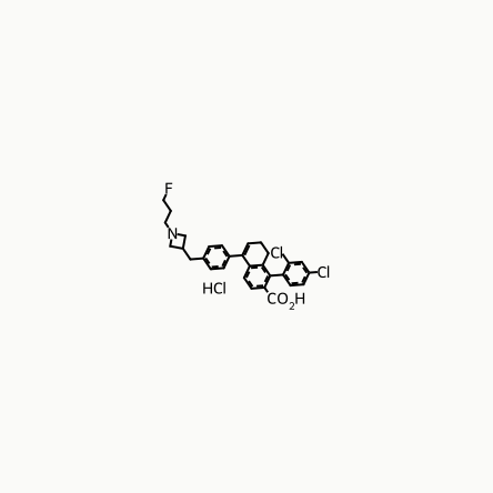 Cl.O=C(O)c1ccc2c(c1-c1ccc(Cl)cc1Cl)CCC=C2c1ccc(CC2CN(CCCF)C2)cc1